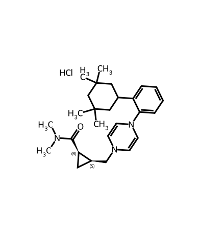 CN(C)C(=O)[C@@H]1C[C@@H]1CN1C=CN(c2ccccc2C2CC(C)(C)CC(C)(C)C2)C=C1.Cl